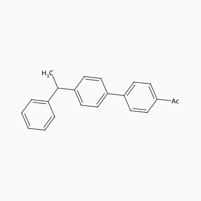 CC(=O)c1ccc(-c2ccc(C(C)c3ccccc3)cc2)cc1